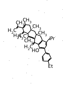 C=C(C)C1=C(C)C[C@@]2(C)C[C@@]3(C)Cc4c(C(C)C)cc(-c5ccc(CC)cc5)c(O)c4C(=C)C3=C(C)[C@@]2(C)C1=C